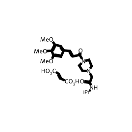 COc1cc(C=CC(=O)N2CCN(CC(=O)NC(C)C)CC2)cc(OC)c1OC.O=C(O)C=CC(=O)O